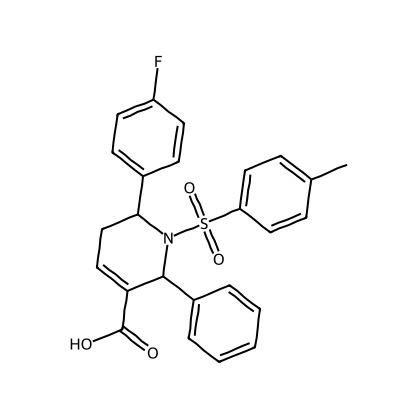 Cc1ccc(S(=O)(=O)N2C(c3ccc(F)cc3)CC=C(C(=O)O)C2c2ccccc2)cc1